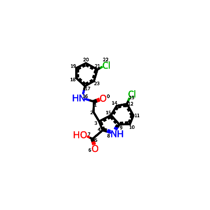 O=C(Cc1c(C(=O)O)[nH]c2ccc(Cl)cc12)Nc1cccc(Cl)c1